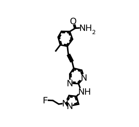 Cc1ccc(C(N)=O)cc1C#Cc1cnc(Nc2cnn(CCF)c2)nc1